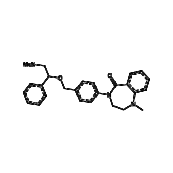 CNCC(OCc1ccc(N2CCN(C)c3ccccc3C2=O)cc1)c1ccccc1